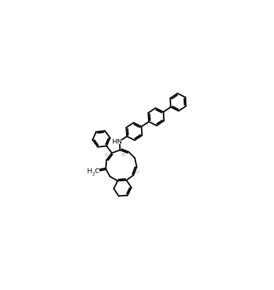 C=C1/C=C(c2ccccc2)\C(Nc2ccc(-c3ccc(-c4ccccc4)cc3)cc2)=C/C/C=C\C2=C(CCC=C2)C1